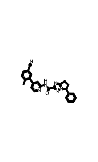 Cc1ccc(C#N)cc1-c1ccnc(NC(=O)c2nc3n(n2)C(c2ccccc2)CC3)c1